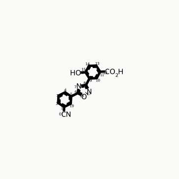 N#Cc1cccc(-c2nc(-c3cc(C(=O)O)ccc3O)no2)c1